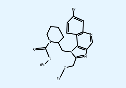 CCOCc1nc2cnc3cc(Br)ccc3c2n1CC1CCCCN1C(=O)OC(C)(C)C